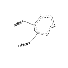 CCCCCCCCCc1[c]cccc1CCCCCCCCC